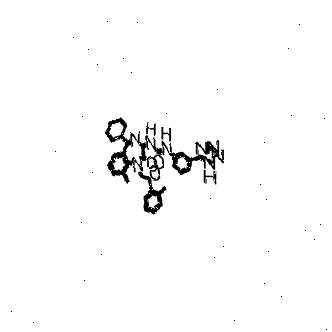 Cc1ccccc1C(=O)CN1C(=O)C(NC(=O)Nc2cccc(-c3nnn[nH]3)c2)N=C(C2CCCCC2)c2cccc(C)c21